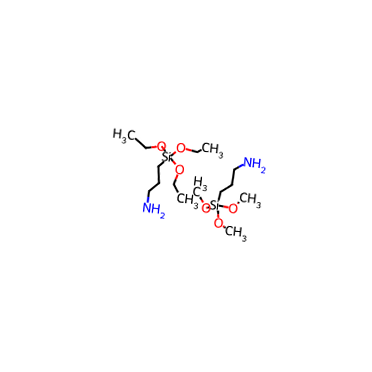 CCO[Si](CCCN)(OCC)OCC.CO[Si](CCCN)(OC)OC